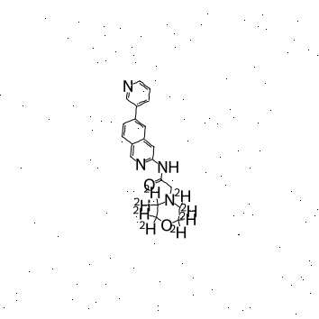 [2H]C1([2H])OC([2H])([2H])C([2H])([2H])N(CC(=O)Nc2cc3cc(-c4cccnc4)ccc3cn2)C1([2H])[2H]